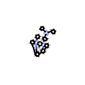 c1ccc(-c2nc(-c3ccccc3)nc(-c3ccc4c(c3)B3c5ccccc5N5c6cccc7c8ccc9c%10c8n(c67)C6C5C3C3[C@@H]5[C@H]6B%10c6c-9ccc7c8cccc(c8n5c67)N43)n2)cc1